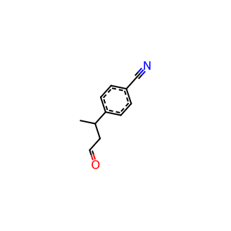 CC(CC=O)c1ccc(C#N)cc1